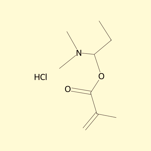 C=C(C)C(=O)OC(CC)N(C)C.Cl